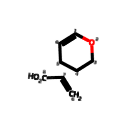 C1=COCCC1.C=CC(=O)O